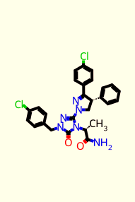 C[C@H](C(N)=O)n1c(N2C[C@@H](c3ccccc3)C(c3ccc(Cl)cc3)=N2)nn(Cc2ccc(Cl)cc2)c1=O